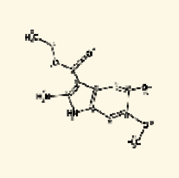 CCOC(=O)c1c(N)[nH]c2cc(OC)c(O)cc12